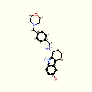 Brc1ccc2[nH]c3c(c2c1)CCC[C@H]3NCc1ccc(CN2CCOCC2)cc1